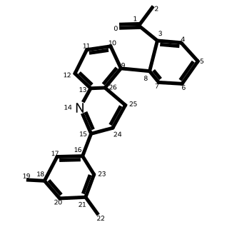 C=C(C)c1ccccc1-c1cccc2nc(-c3cc(C)cc(C)c3)ccc12